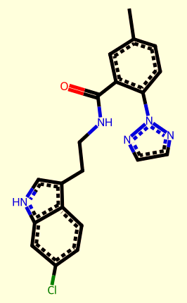 Cc1ccc(-n2nccn2)c(C(=O)NCCc2c[nH]c3cc(Cl)ccc23)c1